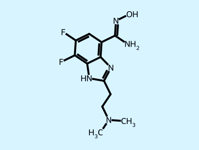 CN(C)CCc1nc2c(/C(N)=N/O)cc(F)c(F)c2[nH]1